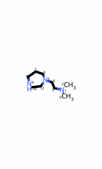 CN(C)CCN1CCCNCC1